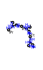 CCc1cc(NCc2nc(-c3ccc4ncnn4c3)c(-c3cccc(C)n3)[nH]2)ccc1-c1nc2ccc(-c3nc(CNc4ccc(-c5nc6ccc(-c7nc(CNc8cccc(C(C)C)c8)[nH]c7-c7cccc(C)n7)cn6n5)cc4C(C)C)[nH]c3-c3cccc(C)n3)cn2n1